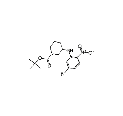 CC(C)(C)OC(=O)N1CCCC(Nc2cc(Br)ccc2[N+](=O)[O-])C1